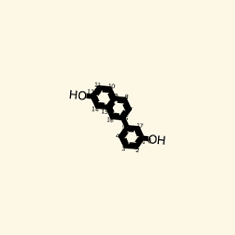 Oc1cccc(-c2ccc3ccc(O)cc3c2)c1